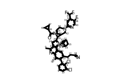 Cc1nc2c(F)c(-c3cccc(Cl)c3Cl)c(CCC#N)cc2c2c1cc(C1C3CC(CN(c4cc(C(F)F)c(F)cn4)C3)N1C(=O)C1CC1)n2C1C2CNC1C2